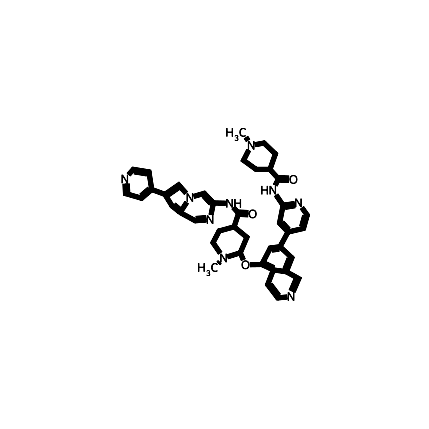 CN1CCC(C(=O)Nc2cc(-c3cc(OC4CC(C(=O)Nc5cn6cc(-c7ccncc7)cc6cn5)CCN4C)c4ccncc4c3)ccn2)CC1